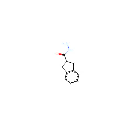 NNC(=O)C1[CH]c2ccccc2C1